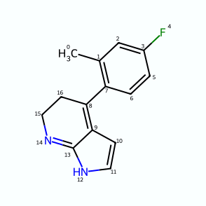 Cc1cc(F)ccc1C1=c2cc[nH]c2=NCC1